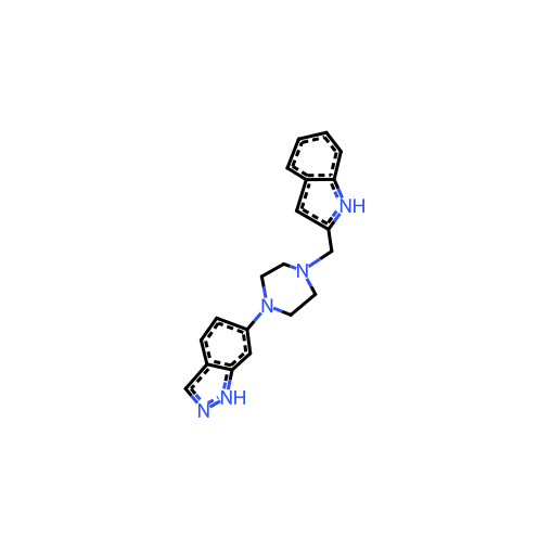 c1ccc2[nH]c(CN3CCN(c4ccc5cn[nH]c5c4)CC3)cc2c1